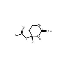 CC(=O)CC1(C)CCOC(=O)O1